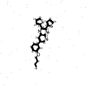 ICCCOc1cccc(-c2cnc3nc(-c4cccs4)c(-c4cccs4)nc3c2)c1